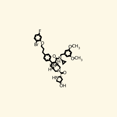 COc1cc(CN(C(=O)C2=C(c3ccc(CCCOc4cc(F)ccc4Br)cc3)C[C@@H]3CN(C(=O)[C@@H]4C[C@@H](O)CN4)C[C@H]2N3)C2CC2)cc(OC)c1